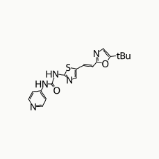 CC(C)(C)c1cnc(C=Cc2cnc(NC(=O)Nc3ccncc3)s2)o1